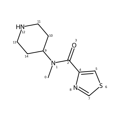 CN(C(=O)c1cscn1)C1CCNCC1